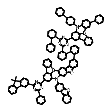 CC1(C)c2ccccc2-c2cc(-c3nc(-c4ccccc4)nc(-c4cc5c6c(c4)N(c4ccc7c(c4)oc4ccccc47)c4cc7oc8ccc(-c9ccccc9-c9ccccc9-c9nc(-c%10cc%11c%12c(c%10)N(c%10ccc(-c%13ccccc%13)cc%10)c%10ccc(-c%13ccccc%13)cc%10B%12c%10ccccc%10-%11)nc(-c%10ccccc%10-c%10ccccc%10)n9)cc8c7cc4B6c4ccccc4-5)n3)ccc21